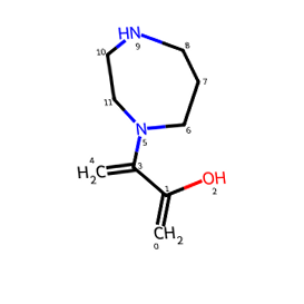 C=C(O)C(=C)N1CCCNCC1